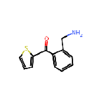 NCc1ccccc1C(=O)c1cccs1